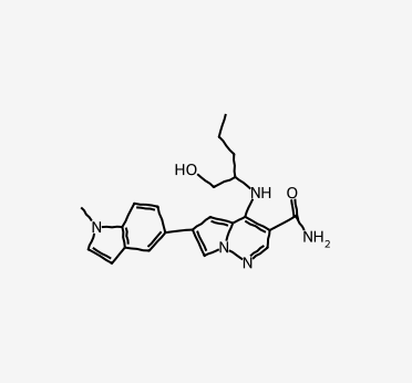 CCCC(CO)Nc1c(C(N)=O)cnn2cc(-c3ccc4c(ccn4C)c3)cc12